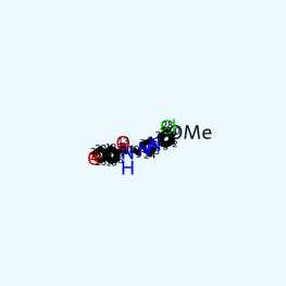 COc1ccc(N2CCN(CCNC(=O)c3ccc4c(c3)CCOC4)CC2)cc1Cl